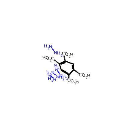 NN.NN.NN.NN.O=C(O)c1cc(C(=O)O)c(C(=O)O)cc1C(=O)O